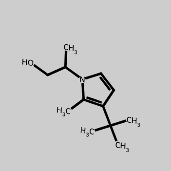 Cc1c(C(C)(C)C)ccn1C(C)CO